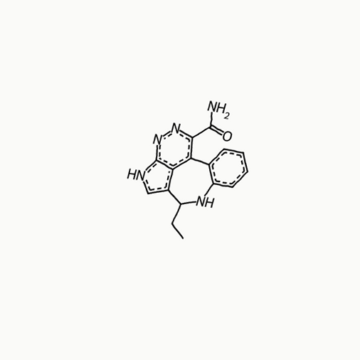 CCC1Nc2ccccc2-c2c(C(N)=O)nnc3[nH]cc1c23